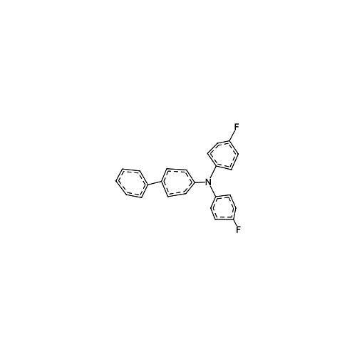 Fc1ccc(N(c2ccc(F)cc2)c2ccc(-c3ccccc3)cc2)cc1